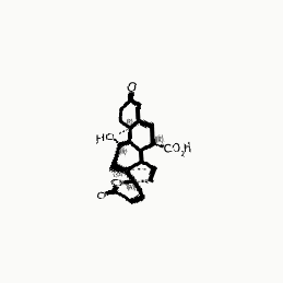 C[C@]12CCC(=O)C=C1C[C@@H](C(=O)O)C1C2[C@H](O)C[C@@]2(C)C1CC[C@@]21CCC(=O)O1